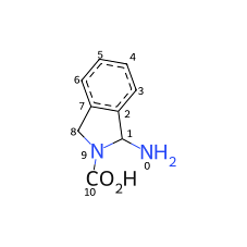 NC1c2ccccc2CN1C(=O)O